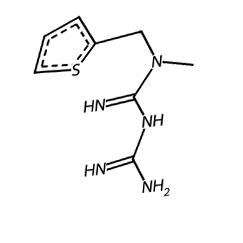 CN(Cc1cccs1)C(=N)NC(=N)N